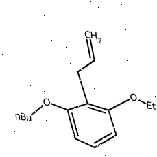 C=CCc1c(OCC)cccc1OCCCC